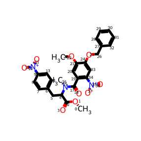 COC(=O)C(Cc1ccc([N+](=O)[O-])cc1)N(C)C(=O)c1cc(OC)c(OCc2ccccc2)cc1[N+](=O)[O-]